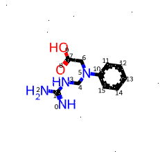 N=C(N)NCN(CC(=O)O)c1ccccc1